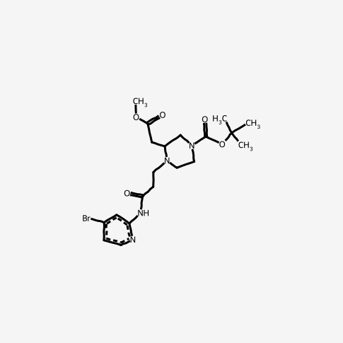 COC(=O)CC1CN(C(=O)OC(C)(C)C)CCN1CCC(=O)Nc1cc(Br)ccn1